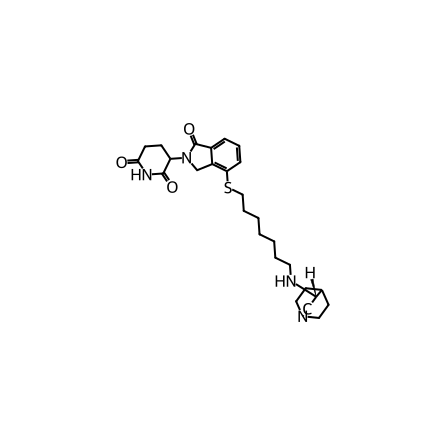 O=C1CCC(N2Cc3c(SCCCCCCCN[C@H]4CN5CCC4CC5)cccc3C2=O)C(=O)N1